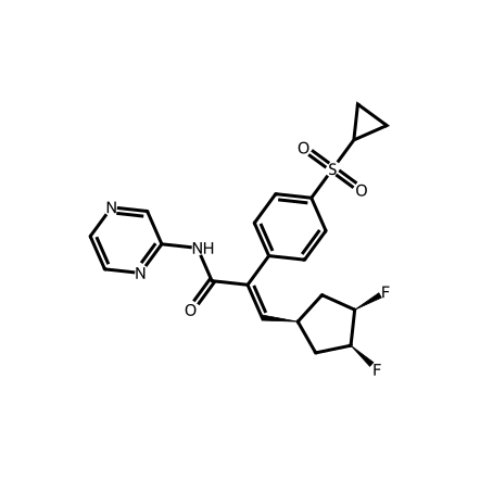 O=C(Nc1cnccn1)/C(=C/[C@H]1C[C@@H](F)[C@@H](F)C1)c1ccc(S(=O)(=O)C2CC2)cc1